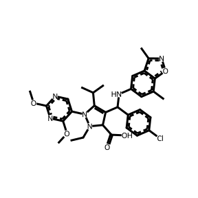 CCN1C(C(=O)O)C(C(Nc2cc(C)c3onc(C)c3c2)c2ccc(Cl)cc2)=C(C(C)C)N1c1cnc(OC)nc1OC